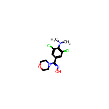 CN(C)c1c(Cl)cc(/C(=N/O)N2CCOCC2)cc1Cl